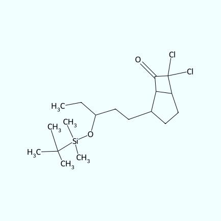 CCC(CCC1CCC2C1C(=O)C2(Cl)Cl)O[Si](C)(C)C(C)(C)C